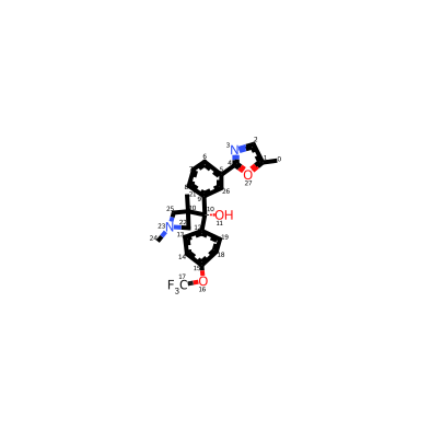 Cc1cnc(-c2cccc([C@@](O)(c3ccc(OC(F)(F)F)cc3)C3(C)CN(C)C3)c2)o1